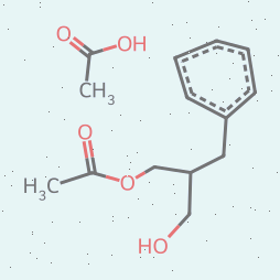 CC(=O)O.CC(=O)OCC(CO)Cc1ccccc1